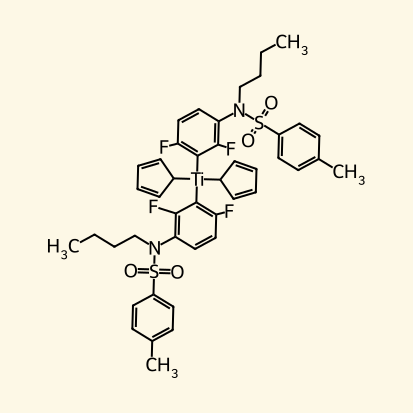 CCCCN(c1ccc(F)[c]([Ti]([c]2c(F)ccc(N(CCCC)S(=O)(=O)c3ccc(C)cc3)c2F)([CH]2C=CC=C2)[CH]2C=CC=C2)c1F)S(=O)(=O)c1ccc(C)cc1